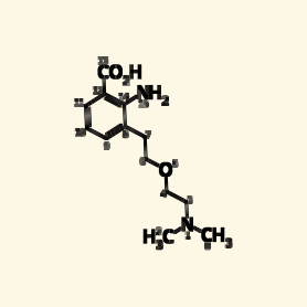 CN(C)CCOCCc1cccc(C(=O)O)c1N